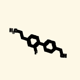 CCCc1ccc(-c2ccc(CO)cc2)c(F)c1